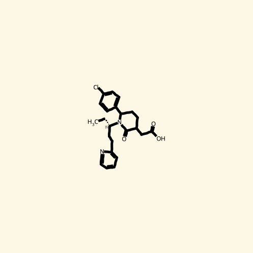 CC[C@@H](CCc1ccccn1)N1C(=O)C(CC(=O)O)CCC1c1ccc(Cl)cc1